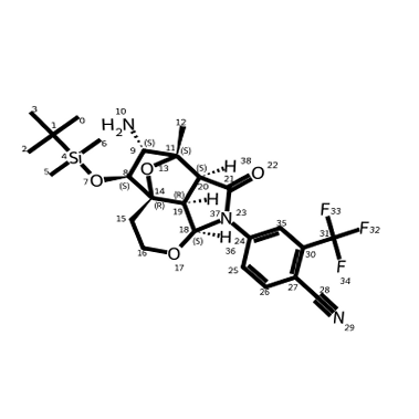 CC(C)(C)[Si](C)(C)O[C@H]1[C@H](N)[C@@]2(C)O[C@@]13CCO[C@H]1[C@@H]3[C@@H]2C(=O)N1c1ccc(C#N)c(C(F)(F)F)c1